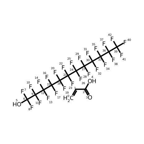 C=CC(=O)O.OC(F)(F)C(F)(F)C(F)(F)C(F)(F)C(F)(F)C(F)(F)C(F)(F)C(F)(F)C(F)(F)C(F)(F)C(F)(F)C(F)(F)F